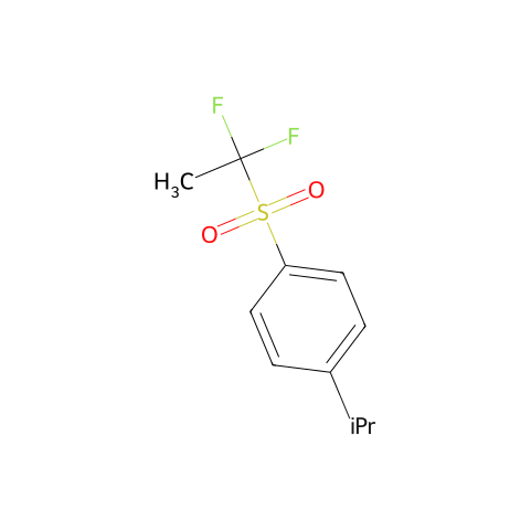 CC(C)c1ccc(S(=O)(=O)C(C)(F)F)cc1